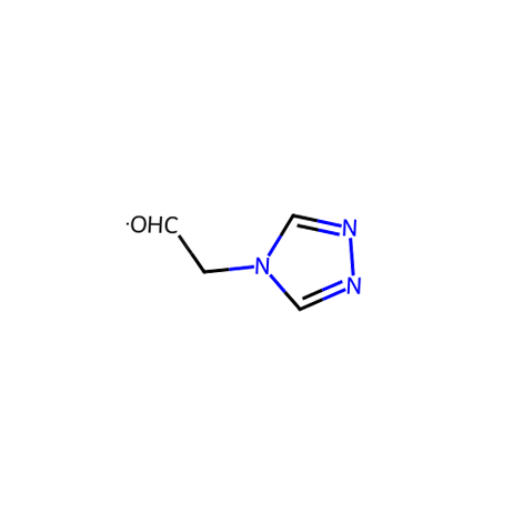 O=[C]Cn1cnnc1